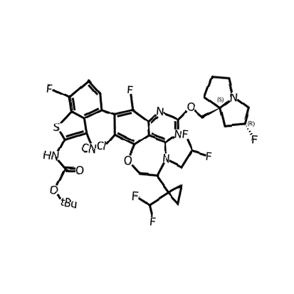 CC(C)(C)OC(=O)Nc1sc2c(F)ccc(-c3c(Cl)c4c5c(nc(OC[C@@]67CCCN6C[C@H](F)C7)nc5c3F)N(CC(F)F)C(C3(C(F)F)CC3)CO4)c2c1C#N